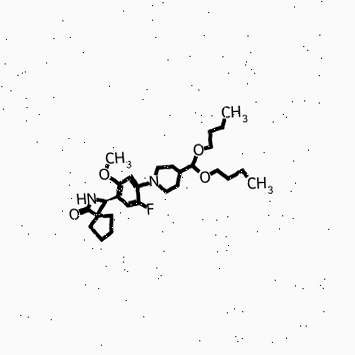 CCCCOC(OCCCC)C1CCN(c2cc(OC)c([C@@H]3NC(=O)C34CCCC4)cc2F)CC1